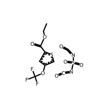 CCOC(=O)c1cc(OC(F)(F)F)cs1.O=C=NS(=O)(=O)N=C=O